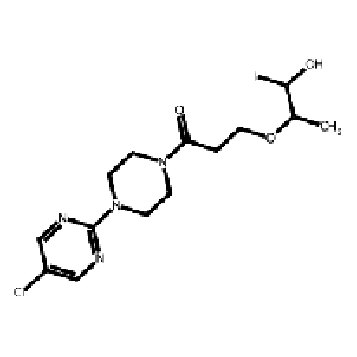 CC(OCCC(=O)N1CCN(c2ncc(Cl)cn2)CC1)C(O)I